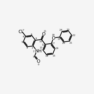 O=CNc1ccc(Cl)cc1C(=O)c1ccccc1Oc1ccccc1